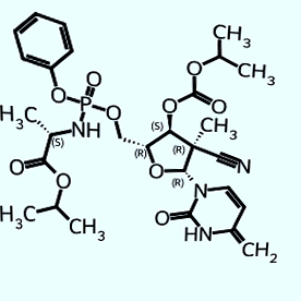 C=C1C=CN([C@@H]2O[C@H](COP(=O)(N[C@@H](C)C(=O)OC(C)C)Oc3ccccc3)[C@@H](OC(=O)OC(C)C)[C@@]2(C)C#N)C(=O)N1